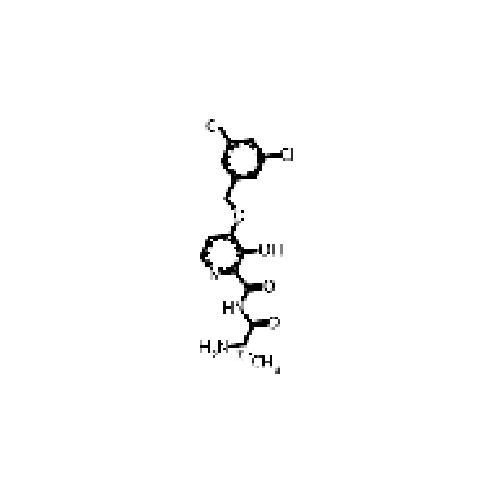 C[C@H](N)C(=O)NC(=O)c1nccc(OCc2cc(Cl)cc(Cl)c2)c1O